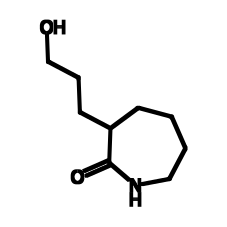 O=C1NCCCCC1CCCO